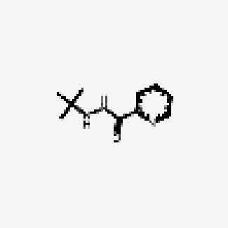 CC(C)(C)NNC(=O)c1ccccn1